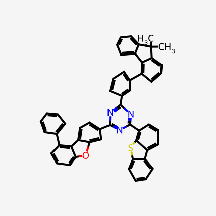 CC1(C)c2ccccc2-c2c(-c3cccc(-c4nc(-c5ccc6c(c5)oc5cccc(-c7ccccc7)c56)nc(-c5cccc6c5sc5ccccc56)n4)c3)cccc21